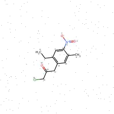 CCc1cc([N+](=O)[O-])c(C)cc1CC(=O)CCl